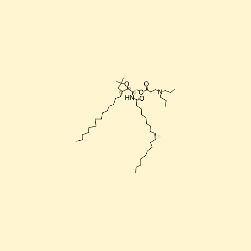 CCCCCCCC/C=C\CCCCCCCC(=O)N[C@@H](COC(=O)CCN(CCC)CCC)[C@@H]1OC(C)(C)C[C@@H]1CCCCCCCCCCCCCC